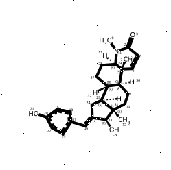 CN1C(=O)C=C[C@]2(C)[C@H]3CC[C@]4(C)[C@@H](O)C(=Cc5ccc(O)cc5)C[C@H]4[C@@H]3CC[C@@H]12